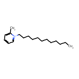 CCCCCCCCCCCC[n+]1ccccc1C